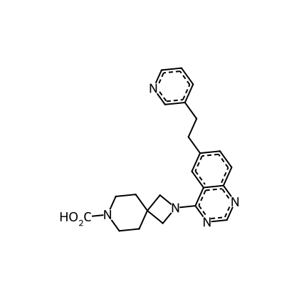 O=C(O)N1CCC2(CC1)CN(c1ncnc3ccc(CCc4cccnc4)cc13)C2